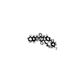 NCCCCC1C(=O)NC(Cc2ccc3c(c2)CCCC3)C(=O)N1Cc1ccc(Oc2ccccc2)cc1